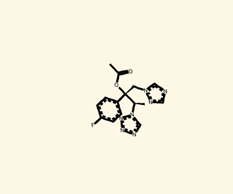 CC(=O)O[C@@](Cn1cncn1)(c1ccc(F)cc1)[C@@H](C)n1cnnn1